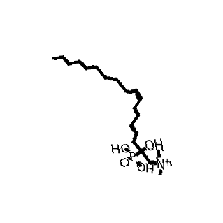 CCCCCCCCC/C=C\CCCCCC(O)(C[N+](C)(C)C)P(=O)(O)O